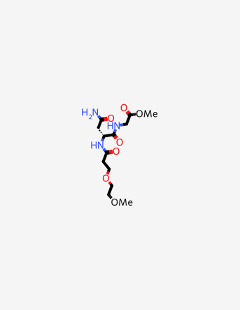 COCCOCCC(=O)N[C@H](CC(N)=O)C(=O)NCC(=O)OC